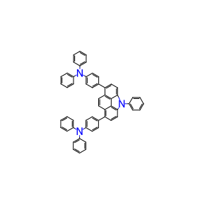 c1ccc(N(c2ccccc2)c2ccc(-c3ccc4c5c3ccc3c(-c6ccc(N(c7ccccc7)c7ccccc7)cc6)ccc(c35)n4-c3ccccc3)cc2)cc1